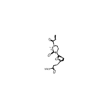 C=CC(=O)N1CCN(c2ccc(CCC(=O)O)o2)C(=O)[C@@H]1C